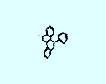 Cc1ccccc1C1=C(Nc2ccccc2)c2ccccc2[C@@H](C)C1